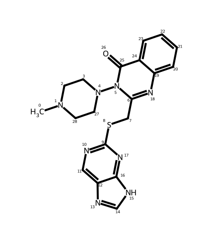 CN1CCN(n2c(CSc3ncc4nc[nH]c4n3)nc3ccccc3c2=O)CC1